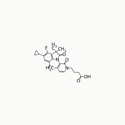 Cc1ccn(CCCC(=O)O)c(=O)c1N1C(=O)C(C)(C)c2c(F)c(C3CC3)cc(F)c21